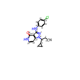 N#CCC(C1CC1)n1nc(Nc2ccc(Cl)cc2)c2c(=O)[nH]ccc21